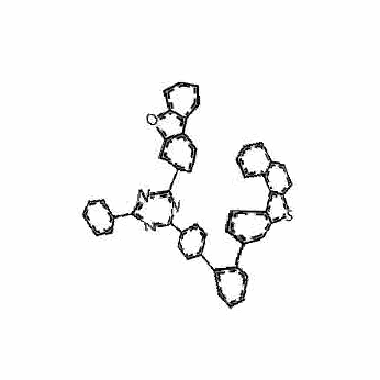 c1ccc(-c2nc(-c3ccc(-c4ccccc4-c4ccc5c(c4)sc4ccc6ccccc6c45)cc3)nc(-c3ccc4c(c3)oc3ccccc34)n2)cc1